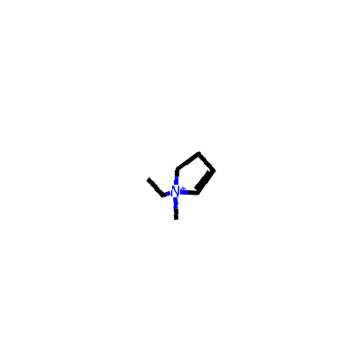 CC[N+]1(C)C=CCC1